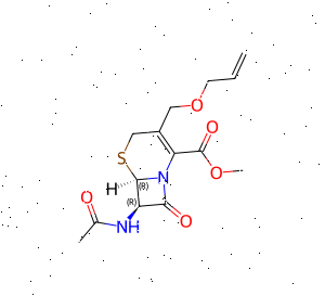 C=CCOCC1=C(C(=O)OC)N2C(=O)[C@@H](NC(C)=O)[C@H]2SC1